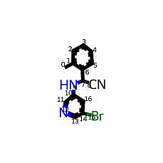 Cc1ccccc1C(C#N)Nc1cncc(Br)c1